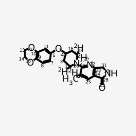 [2H]C1([2H])CC(Oc2ccc3c(c2)OCCO3)CC([2H])([2H])N1c1nc2c(cc1C)C(=O)NC2